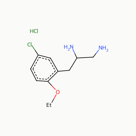 CCOc1ccc(Cl)cc1CC(N)CN.Cl